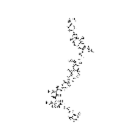 COc1ccc(C2=CN3C(=O)c4cc(OC)c(OCCCOc5cc6c(cc5OC)C(=O)N5CC(c7ccc(NC(=O)[C@H](C)NC(=O)C(NC(=O)CCCCCN8C(=O)C=CC8=O)C(C)C)cc7)CC5C=N6)cc4N=C[C@@H]3C2)cc1